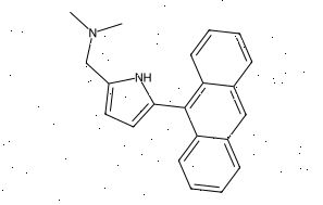 CN(C)Cc1ccc(-c2c3ccccc3cc3ccccc23)[nH]1